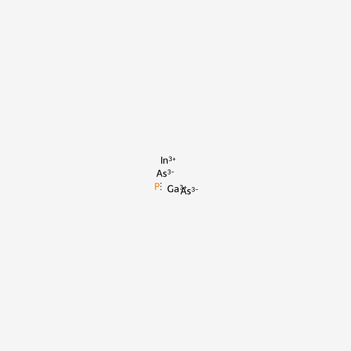 [As-3].[As-3].[Ga+3].[In+3].[P]